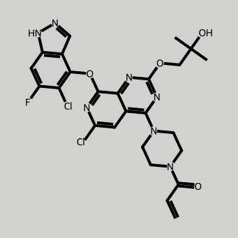 C=CC(=O)N1CCN(c2nc(OCC(C)(C)O)nc3c(Oc4c(Cl)c(F)cc5[nH]ncc45)nc(Cl)cc23)CC1